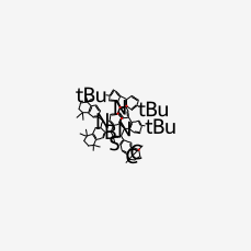 CC(C)(C)c1ccc(N2c3cc(-n4c5cc(C(C)(C)C)ccc5c5ccc(C(C)(C)C)cc54)cc4c3B(c3cc5c(cc3N4c3ccc4c(c3)C(C)(C)CCC4(C)C)C(C)(C)CCC5(C)C)c3sc4cc5c(cc4c32)C2(C)CCC5(C)CC2)c(-c2ccccc2)c1